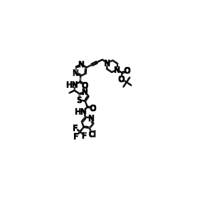 CC(NC(=O)c1cc(C#CCN2CCN(C(=O)OC(C)(C)C)CC2)ncn1)c1ncc(C(=O)Nc2cc(C(F)(F)F)c(Cl)cn2)s1